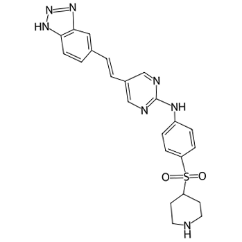 O=S(=O)(c1ccc(Nc2ncc(C=Cc3ccc4[nH]nnc4c3)cn2)cc1)C1CCNCC1